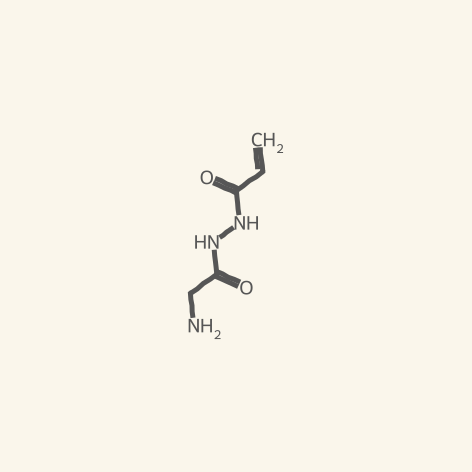 C=CC(=O)NNC(=O)CN